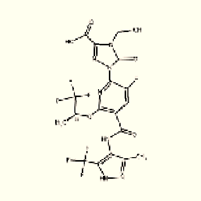 CCn1c(C(=O)O)nn(-c2nc(O[C@@H](C)C(F)(F)F)c(C(=O)Nc3c(C)n[nH]c3C(F)(F)F)cc2F)c1=O